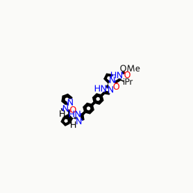 COC(=O)N[C@H](C(=O)N1CCC[C@H]1c1ncc(-c2ccc(-c3ccc(-c4cnc([C@@H]5[C@H]6CC[C@H](C6)[C@H]5C(=O)N(C)c5ccccn5)[nH]4)cc3)cc2)[nH]1)C(C)C